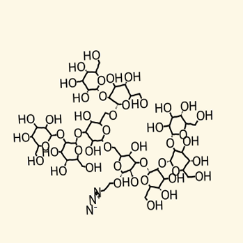 [N-]=[N+]=NCCO[C@@H]1OC(CO[C@H]2OC(CO[C@H]3OC(CO)[C@@H](O)C(O)[C@H]3O[C@H]3OC(CO)[C@@H](O)C(O)[C@H]3O)[C@@H](O)C(O[C@H]3OC(CO)[C@@H](O)C(O)C3O[C@H]3OC(CO)[C@@H](O)C(O)C3O)C2O)[C@@H](O)C(O[C@H]2OC(CO)[C@@H](O)C(O)C2O[C@H]2OC(CO)[C@@H](O)C(O)C2O[C@H]2OC(CO)[C@@H](O)C(O)C2O)[C@H]1O